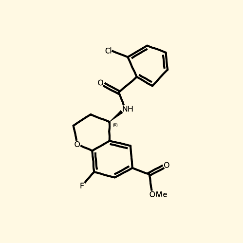 COC(=O)c1cc(F)c2c(c1)[C@H](NC(=O)c1ccccc1Cl)CCO2